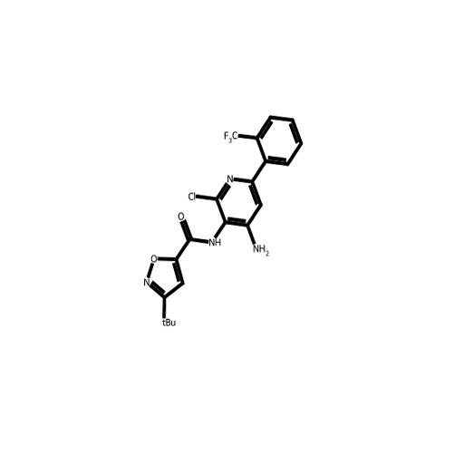 CC(C)(C)c1cc(C(=O)Nc2c(N)cc(-c3ccccc3C(F)(F)F)nc2Cl)on1